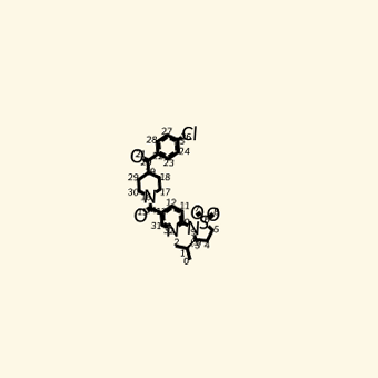 CC(C)[C@@H]1CCS(=O)(=O)N1c1ccc(C(=O)N2CCC(C(=O)c3ccc(Cl)cc3)CC2)cn1